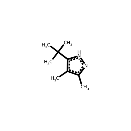 Cc1n[nH]c(C(C)(C)C)c1C